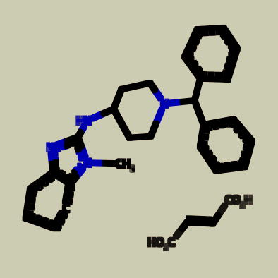 Cn1c(NC2CCN(C(c3ccccc3)c3ccccc3)CC2)nc2ccccc21.O=C(O)/C=C/C(=O)O